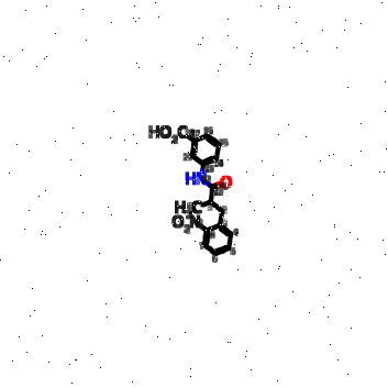 CC(Cc1ccccc1[N+](=O)[O-])C(=O)Nc1cccc(C(=O)O)c1